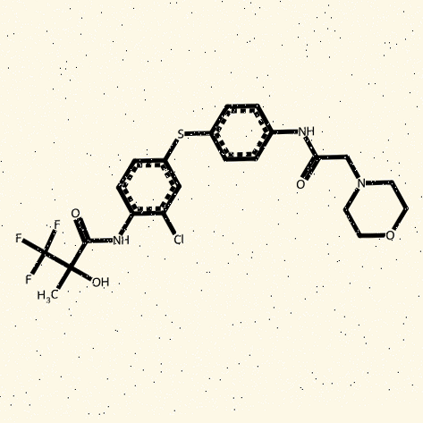 CC(O)(C(=O)Nc1ccc(Sc2ccc(NC(=O)CN3CCOCC3)cc2)cc1Cl)C(F)(F)F